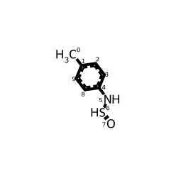 Cc1ccc(N[SH]=O)cc1